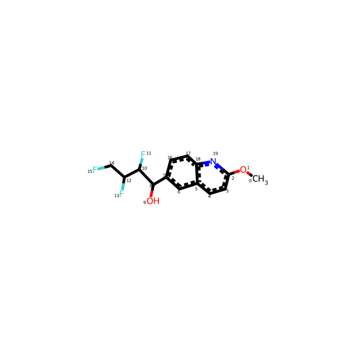 COc1ccc2cc(C(O)C(F)C(F)CF)ccc2n1